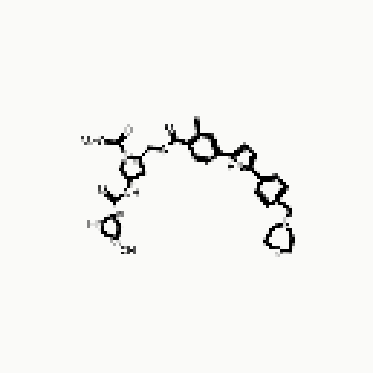 COC(=O)N1C[C@H](NC(=O)[C@@H]2C[C@H](C#N)CN2)C[C@@H]1CNC(=O)c1ccc(-c2ccc(-c3ccc(CN4CCOCC4)cc3)[nH]2)cc1C